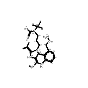 CC(C)=C1NC2=C(N)Nc3cccc(CON)c3C2N1CCCN(C(=O)O)C(C)(C)C